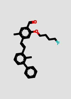 Cc1cc(C=O)c(OCCCCF)cc1/C=C/c1cccc(-c2ccccc2)c1C